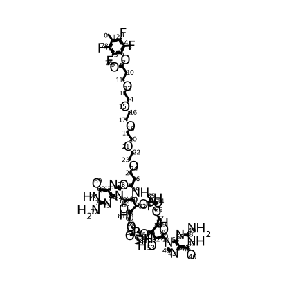 Cc1c(F)c(F)c(OC(=O)CCOCCOCCOCCOCCOCCC(=O)N[C@H]2C3OP(=O)(S)OC[C@H]4O[C@@H](n5cnc6c(=O)[nH]c(N)nc65)C(O)[C@H]4OP(=O)(S)OC[C@H]3O[C@H]2n2cnc3c(=O)[nH]c(N)nc32)c(F)c1F